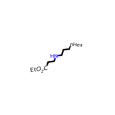 CCCCCCCCCNCCC(=O)OCC